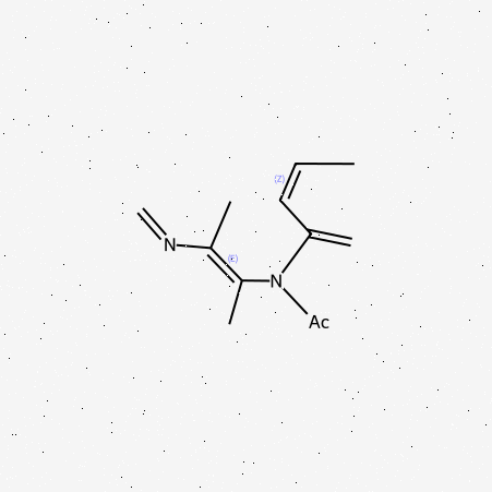 C=N/C(C)=C(\C)N(C(=C)/C=C\C)C(C)=O